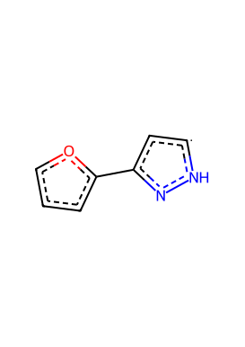 [c]1cc(-c2ccco2)n[nH]1